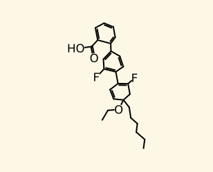 CCCCCCC1(OCC)C=CC(c2ccc(-c3ccccc3C(=O)O)cc2F)=C(F)C1